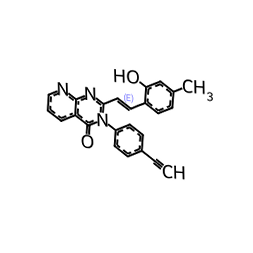 C#Cc1ccc(-n2c(/C=C/c3ccc(C)cc3O)nc3ncccc3c2=O)cc1